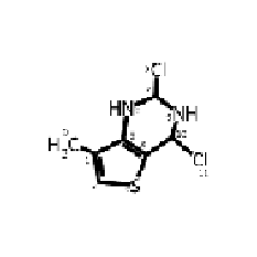 Cc1csc2c1NC(Cl)NC2Cl